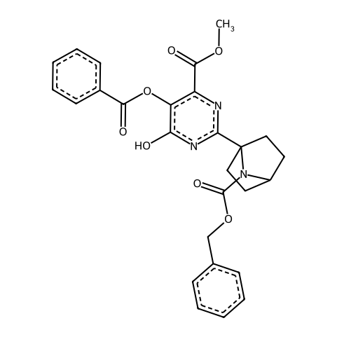 COC(=O)c1nc(C23CCC(CC2)N3C(=O)OCc2ccccc2)nc(O)c1OC(=O)c1ccccc1